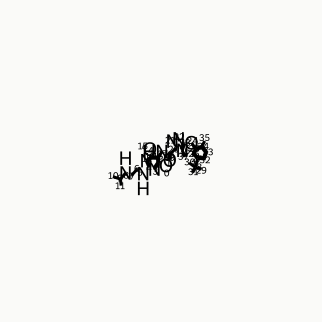 COc1nc(NCCNC(C)C)nc(OC)c1NC(=O)c1nnc(Oc2cc(C(C)(C)C)ccc2C)n1C